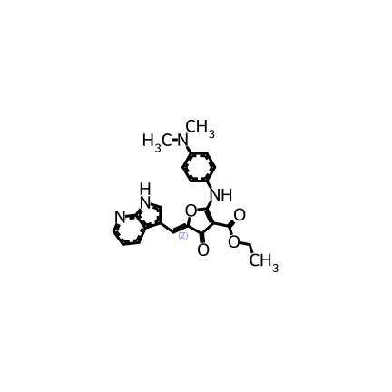 CCOC(=O)C1=C(Nc2ccc(N(C)C)cc2)O/C(=C\c2c[nH]c3ncccc23)C1=O